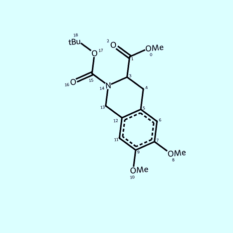 COC(=O)C1Cc2cc(OC)c(OC)cc2CN1C(=O)OC(C)(C)C